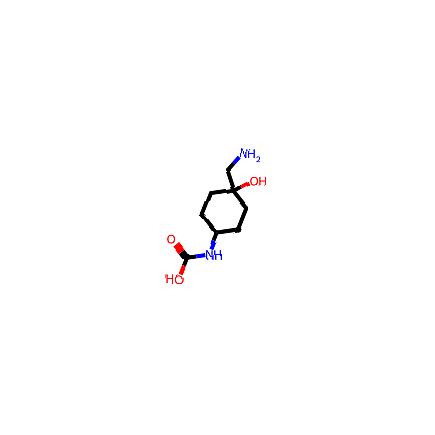 NCC1(O)CCC(NC(=O)O)CC1